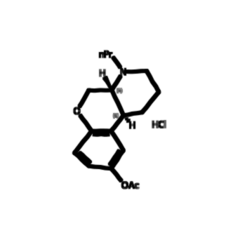 CCCN1CCC[C@H]2c3cc(OC(C)=O)ccc3OC[C@@H]21.Cl